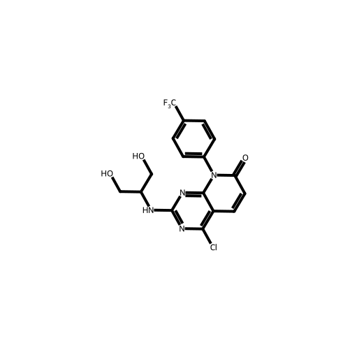 O=c1ccc2c(Cl)nc(NC(CO)CO)nc2n1-c1ccc(C(F)(F)F)cc1